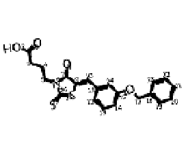 O=C(O)CCCN1C(=O)/C(=C/c2cccc(OCc3ccccc3)c2)SC1=S